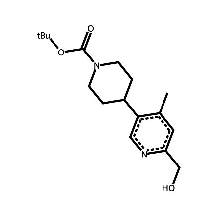 Cc1cc(CO)ncc1C1CCN(C(=O)OC(C)(C)C)CC1